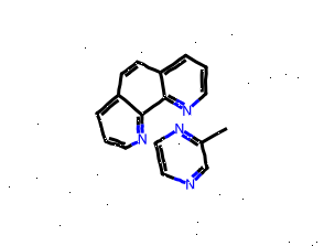 Cc1cnccn1.c1cnc2c(c1)ccc1cccnc12